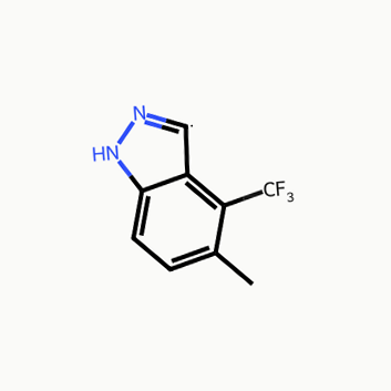 Cc1ccc2[nH]n[c]c2c1C(F)(F)F